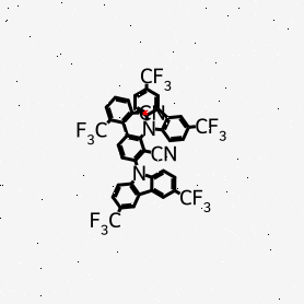 N#Cc1cccc(C(F)(F)F)c1-c1ccc(-n2c3ccc(C(F)(F)F)cc3c3cc(C(F)(F)F)ccc32)c(C#N)c1-n1c2ccc(C(F)(F)F)cc2c2cc(C(F)(F)F)ccc21